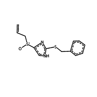 C=CC[S+]([O-])c1c[nH]c(SCc2ccccc2)n1